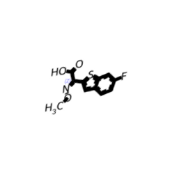 CO/N=C(/C(=O)O)c1cc2ccc(F)cc2s1